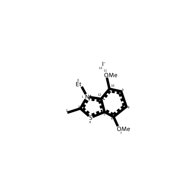 CC[n+]1c(C)sc2c(OC)ccc(OC)c21.[I-]